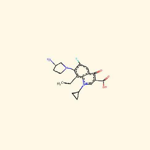 CCc1c(N2CCC(N)C2)c(F)cc2c(=O)c(C(=O)O)cn(C3CC3)c12